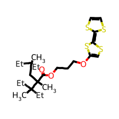 CCC(C)(CC)CC(C)(C(=O)OCCCOC1=CSC(=C2SC=CS2)S1)C(C)(CC)CC